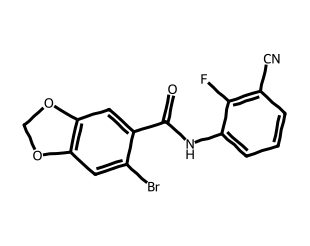 N#Cc1cccc(NC(=O)c2cc3c(cc2Br)OCO3)c1F